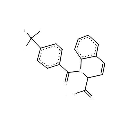 NC(=O)C1C=Cc2ccccc2N1C(=O)c1ccc(C(F)(F)F)cc1